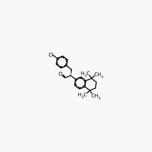 CC1(C)CCC(C)(C)c2cc([C@@H](C=O)Cc3ccc(Cl)cc3)ccc21